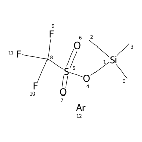 C[Si](C)(C)OS(=O)(=O)C(F)(F)F.[Ar]